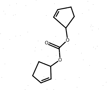 O=C(OC1C=CCC1)OC1C=CCC1